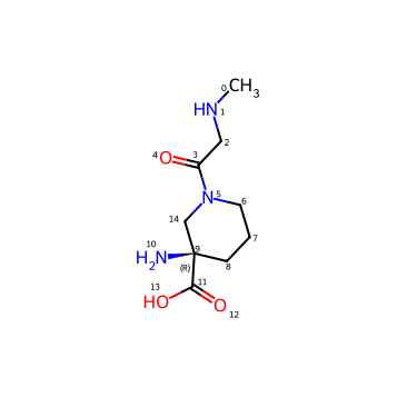 CNCC(=O)N1CCC[C@](N)(C(=O)O)C1